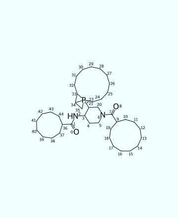 O=C(NC1CCN(C(=O)C2CCCCCCCCCC2)CC1P123CCCCCCCCCCC1C2C3)C1CCCCCCCC1